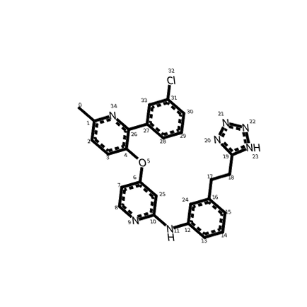 Cc1ccc(Oc2ccnc(Nc3cccc(CCc4nnn[nH]4)c3)c2)c(-c2cccc(Cl)c2)n1